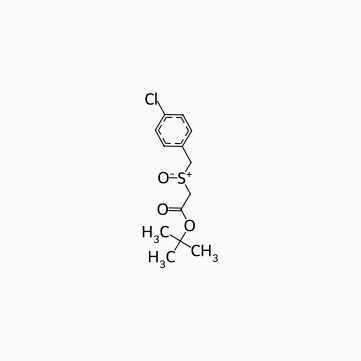 CC(C)(C)OC(=O)C[S+]([O-])Cc1ccc(Cl)cc1